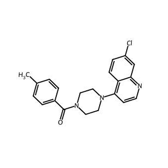 Cc1ccc(C(=O)N2CCN(c3ccnc4cc(Cl)ccc34)CC2)cc1